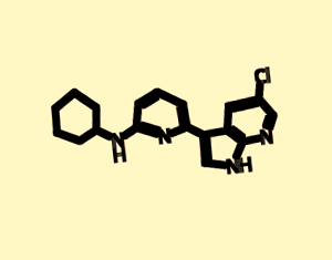 Clc1cnc2[nH]cc(-c3cccc(NC4CCCCC4)n3)c2c1